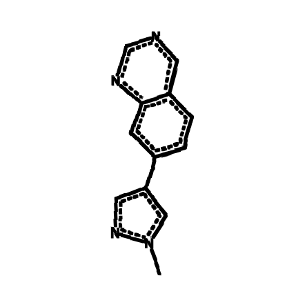 Cn1cc(-c2ccc3cncnc3c2)cn1